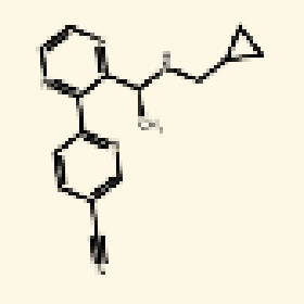 C[C@H](NCC1CC1)c1nccnc1-c1ccc(C#N)cn1